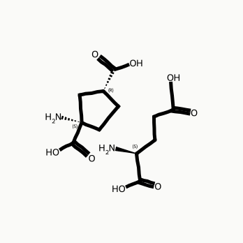 N[C@@H](CCC(=O)O)C(=O)O.N[C@@]1(C(=O)O)CC[C@@H](C(=O)O)C1